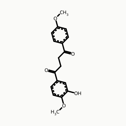 COc1ccc(C(=O)CCC(=O)c2ccc(OC)c(O)c2)cc1